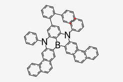 c1ccc(-c2ccccc2-c2cc3c4c(c2)N(c2ccccc2)c2cc5c(ccc6ccccc65)cc2B4c2cc4ccc5ccccc5c4cc2N3c2ccccc2)cc1